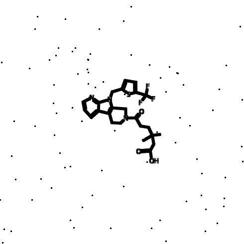 CC(C)(CCC(=O)N1CCc2c(n(Cc3ccc(C(F)(F)F)s3)c3ncccc23)C1)CC(=O)O